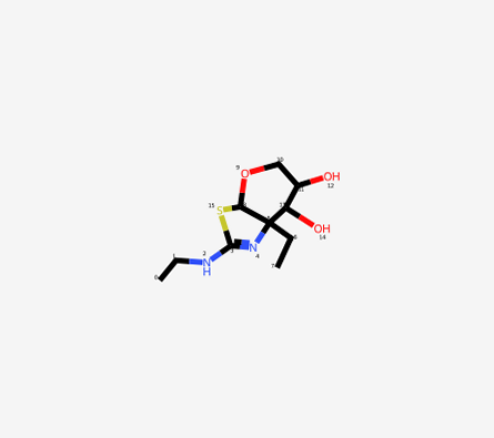 CCNC1=NC2(CC)C(OCC(O)C2O)S1